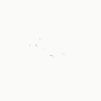 O=c1ccn([C@H]2CC[C@@H](C(O)I)O2)c(=O)[nH]1